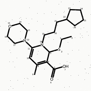 CCSC1C(C(=O)O)=C(C)C=C(N2CCOCC2)N1CCCC1CCCC1